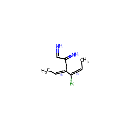 C/C=C(Br)\C(=C\C)C(=N)C=N